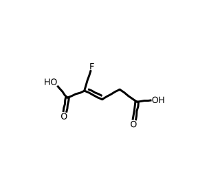 O=C(O)CC=C(F)C(=O)O